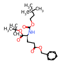 CC(C)(C)OC(=O)[C@H](CCC(=O)OCc1ccccc1)NC(=O)OCC[Si](C)(C)C